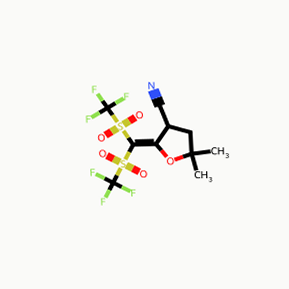 CC1(C)CC(C#N)C(=C(S(=O)(=O)C(F)(F)F)S(=O)(=O)C(F)(F)F)O1